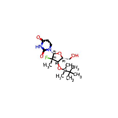 CC(C)(C)[Si](C)(C)O[C@@H]1[C@@H](CO)O[C@@H](n2ccc(=O)[nH]c2=O)[C@@]1(C)F